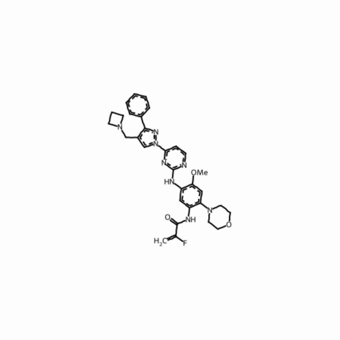 C=C(F)C(=O)Nc1cc(Nc2nccc(-n3cc(CN4CCC4)c(-c4ccccc4)n3)n2)c(OC)cc1N1CCOCC1